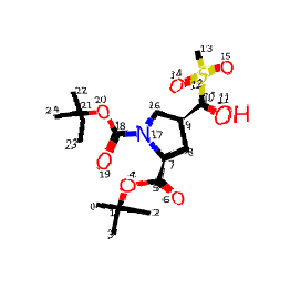 CC(C)(C)OC(=O)[C@@H]1C[C@H](C(O)S(C)(=O)=O)CN1C(=O)OC(C)(C)C